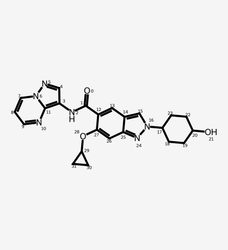 O=C(Nc1cnn2cccnc12)c1cc2cn(C3CCC(O)CC3)nc2cc1OC1CC1